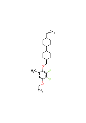 C=CC1CCC(C2CCC(COc3c(C)cc(OCC)c(F)c3F)CC2)CC1